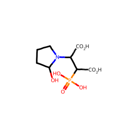 O=C(O)C(C(C(=O)O)P(=O)(O)O)N1CCCC1O